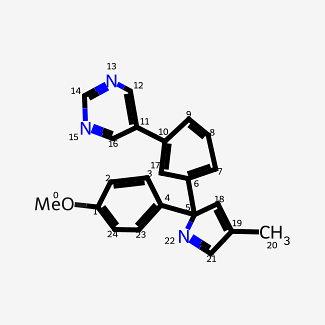 COc1ccc(C2(c3cccc(-c4cncnc4)c3)C=C(C)C=N2)cc1